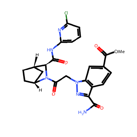 COC(=O)c1ccc2c(C(N)=O)nn(CC(=O)N3[C@@H]4CC[C@@H](C4)[C@H]3C(=O)Nc3cccc(Cl)n3)c2c1